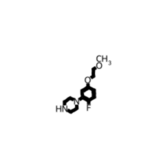 COCCOc1ccc(F)c(N2CCNCC2)c1